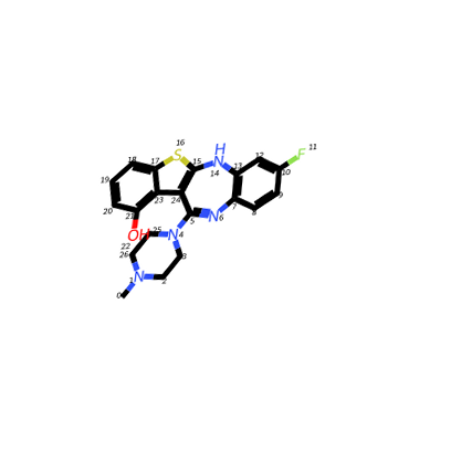 CN1CCN(C2=Nc3ccc(F)cc3Nc3sc4cccc(O)c4c32)CC1